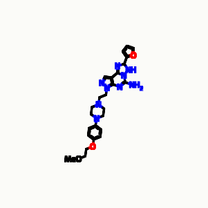 COCCOc1ccc(N2CCN(CCn3ncc4c3N=C(N)N3NC(c5ccco5)N=C43)CC2)cc1